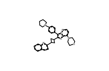 c1ccc2nc(C3CC(c4nc5c(N6CCOCC6)ccnn5c4-c4ccc(N5CCCCC5)cc4)C3)ccc2c1